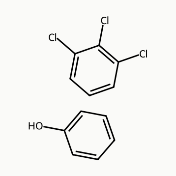 Clc1cccc(Cl)c1Cl.Oc1ccccc1